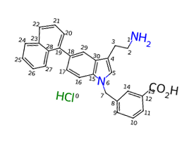 Cl.NCCc1cn(Cc2cccc(C(=O)O)c2)c2ccc(-c3cccc4ccccc34)cc12